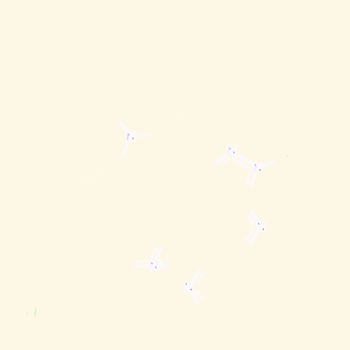 Cn1nc(C2=C(c3c[nH]c4cc(Cl)ccc34)C(=O)N(c3ccccc3)C2=O)c2cc3ncccc3nc21